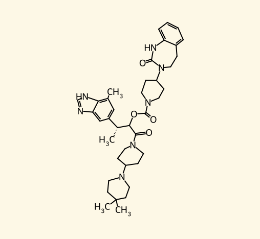 Cc1cc([C@@H](C)C(OC(=O)N2CCC(N3CCc4ccccc4NC3=O)CC2)C(=O)N2CCC(N3CCC(C)(C)CC3)CC2)cc2nc[nH]c12